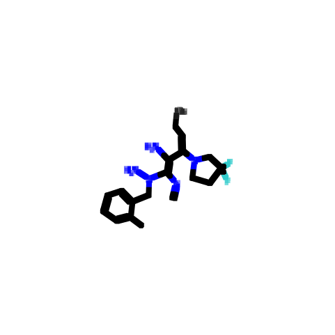 C=N/C(=C(N)\C(=C/CC(C)(C)C)N1CCC(F)(F)C1)N(N)Cc1ccccc1C